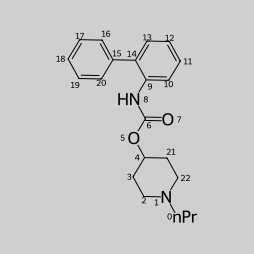 CCCN1CCC(OC(=O)Nc2ccccc2-c2ccccc2)CC1